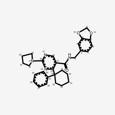 O=C(NCc1ccc2c(c1)OCO2)c1cnc(N2CCCC2)nc1C1(c2ccccc2)CCCCC1